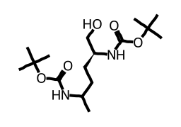 CC(CC[C@@H](CO)NC(=O)OC(C)(C)C)NC(=O)OC(C)(C)C